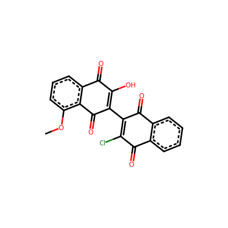 COc1cccc2c1C(=O)C(C1=C(Cl)C(=O)c3ccccc3C1=O)=C(O)C2=O